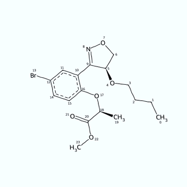 CCCCO[C@@H]1CON=C1c1cc(Br)ccc1O[C@@H](C)C(=O)OC